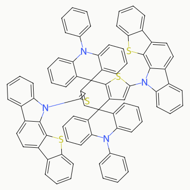 c1ccc(N2c3ccccc3C3(c4ccccc42)c2cc(-n4c5ccccc5c5ccc6c7ccccc7sc6c54)sc2C2(c4ccccc4N(c4ccccc4)c4ccccc42)c2cc(-n4c5ccccc5c5ccc6c7ccccc7sc6c54)sc23)cc1